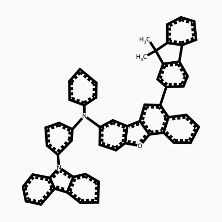 CC1(C)c2ccccc2-c2ccc(-c3cc4c5cc(N(c6ccccc6)c6cccc(-n7c8ccccc8c8ccccc87)c6)ccc5oc4c4ccccc34)cc21